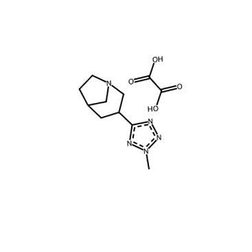 Cn1nnc(C2CC3CCN(C3)C2)n1.O=C(O)C(=O)O